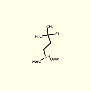 CCC(C)(C)CC[SiH](OC)OC